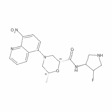 C[C@@H]1CN(c2ccc([N+](=O)[O-])c3ncccc23)C[C@H](C(=O)NC2CNCC2F)O1